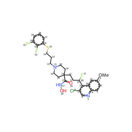 COc1ccc2ncc(Cl)c([C@H](F)CCC3(C(=O)NO)CCN(CCCSc4cccc(F)c4F)CC3)c2c1